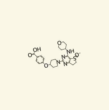 O=C(O)c1ccc(OC2CCN(c3nc4c(c(NC5CCOCC5)n3)[S+]([O-])CC4)CC2)cc1